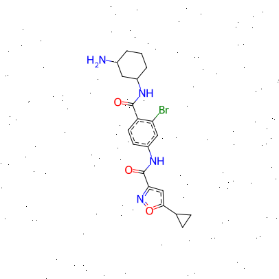 NC1CCCC(NC(=O)c2ccc(NC(=O)c3cc(C4CC4)on3)cc2Br)C1